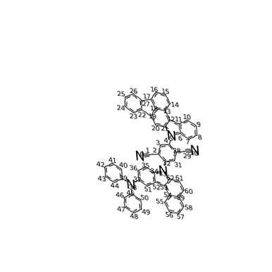 N#Cc1cc(-n2c3ccccc3c3c4cccc5c4c(cc32)-c2ccccc2-5)c(C#N)cc1-n1c2ccc(N(c3ccccc3)c3ccccc3)cc2c2c3ccccc3ccc21